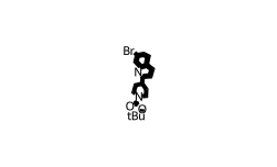 CC(C)(C)OC(=O)N1CCC(c2ccc3ccc(Br)cc3n2)CC1